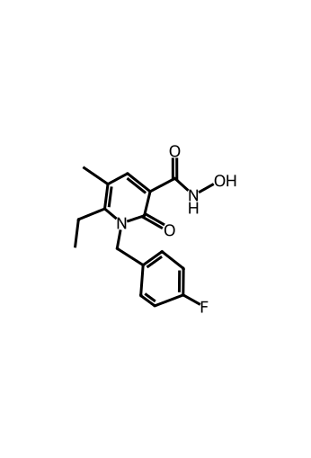 CCc1c(C)cc(C(=O)NO)c(=O)n1Cc1ccc(F)cc1